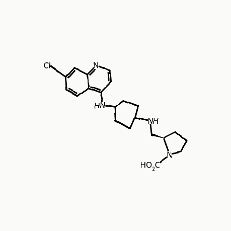 O=C(O)N1CCC[C@@H]1CNC1CCC(Nc2ccnc3cc(Cl)ccc23)CC1